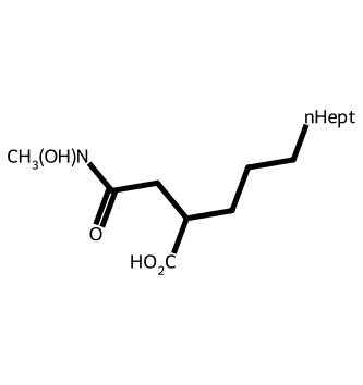 CCCCCCCCCCC(CC(=O)N(C)O)C(=O)O